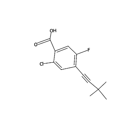 CC(C)(C)C#Cc1cc(Cl)c(C(=O)O)cc1F